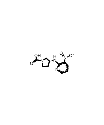 O=C(O)N1CC[C@H](Nc2ncccc2[N+](=O)[O-])C1